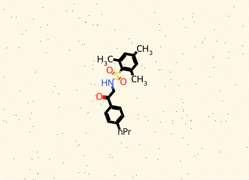 CCCc1ccc(C(=O)CNS(=O)(=O)c2c(C)cc(C)cc2C)cc1